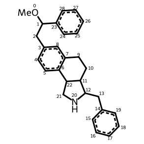 COC(Cc1ccc2c(c1)CCC1C(Cc3ccccc3)NCC21)c1ccccc1